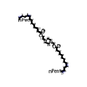 CCCCC/C=C\C/C=C\CCCCCCCC(=O)OCCN1CCN(COC(=O)CCCCCCC/C=C\C/C=C\CCCCC)CC1